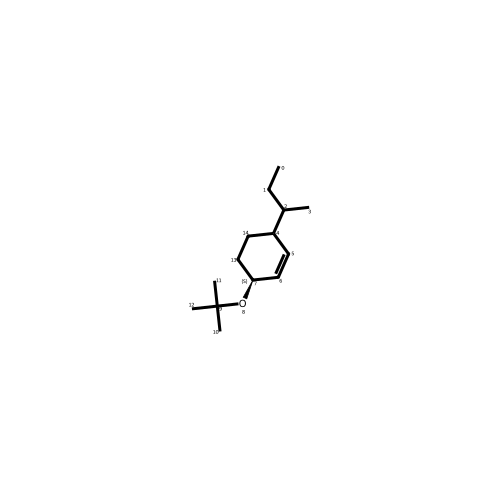 CCC(C)C1C=C[C@@H](OC(C)(C)C)CC1